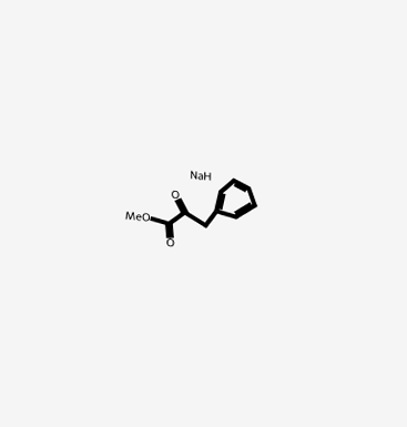 COC(=O)C(=O)Cc1ccccc1.[NaH]